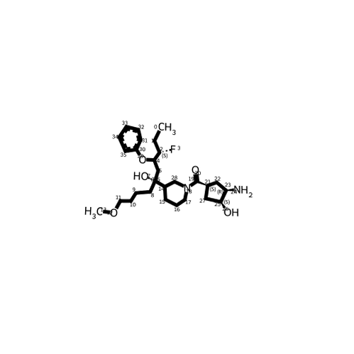 CC[C@H](F)C(C[C@](O)(CCCCOC)C1CCCN(C(=O)[C@H]2C[C@@H](N)[C@@H](O)C2)C1)Oc1ccccc1